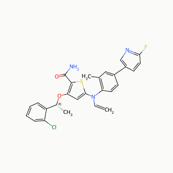 C=CN(c1cc(O[C@H](C)c2ccccc2Cl)c(C(N)=O)s1)c1ccc(-c2ccc(F)nc2)cc1C